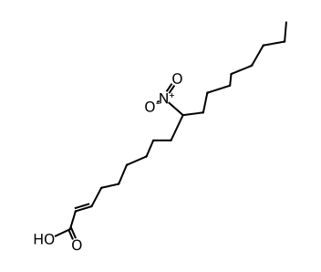 CCCCCCCCC(CCCCCCC=CC(=O)O)[N+](=O)[O-]